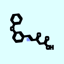 O=C(O)CC(=O)/C=C/c1cccc(Oc2ccccc2)c1